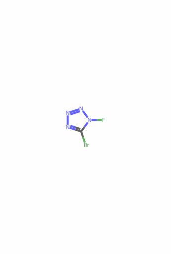 Fn1nnnc1Br